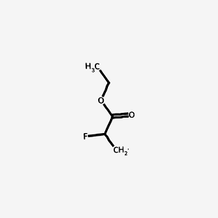 [CH2]C(F)C(=O)OCC